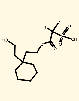 O=C(OCCC1(CCO)CCCCC1)C(F)(F)S(=O)(=O)O